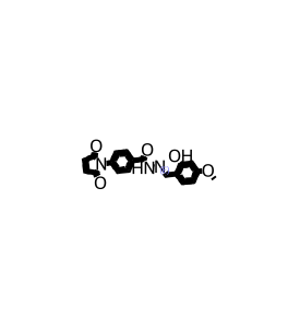 COc1ccc(/C=N/NC(=O)c2ccc(N3C(=O)C=CC3=O)cc2)c(O)c1